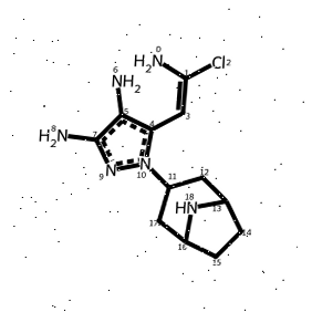 N/C(Cl)=C\c1c(N)c(N)nn1C1CC2CCC(C1)N2